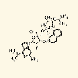 CC(C)OC(=O)[C@H](C)NP(=O)(OC[C@@]1(CCl)O[C@@H](n2cnc3c(N(C)C)nc(N)nc32)[C@@H](F)[C@@H]1O)Oc1cccc2ccccc12